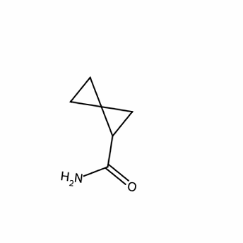 NC(=O)C1CC12CC2